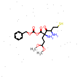 COC(CCC(N)(C(=O)OC(=O)OCc1ccccc1)C(=O)C(N)CCS)OC